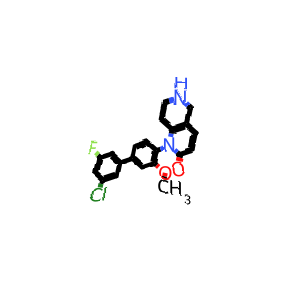 COc1cc(-c2cc(F)cc(Cl)c2)ccc1-n1c2c(ccc1=O)CNCC2